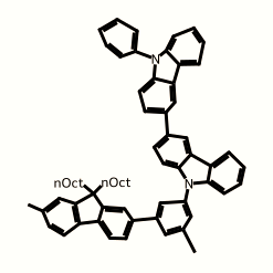 CCCCCCCCC1(CCCCCCCC)c2cc(C)ccc2-c2ccc(-c3cc(C)cc(-n4c5ccccc5c5cc(-c6ccc7c(c6)c6ccccc6n7-c6ccccc6)ccc54)c3)cc21